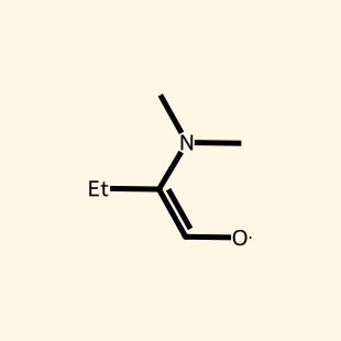 CCC(=C[O])N(C)C